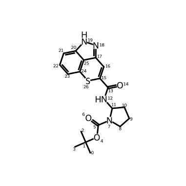 CC(C)(C)OC(=O)N1CCCC1NC(=O)C1=Cc2n[nH]c3cccc(c23)S1